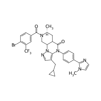 C[C@@H]1CC2C(=O)N(c3ccc(-c4nccn4C)cc3)c3c(CC4CC4)cnn3C2CN1C(=O)c1ccc(Br)c(C(F)(F)F)c1